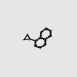 [c]1ccc2ccccc2c1C1CC1